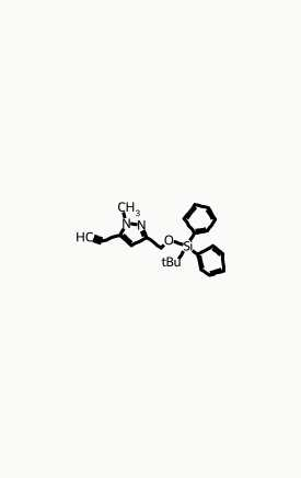 C#Cc1cc(CO[Si](c2ccccc2)(c2ccccc2)C(C)(C)C)nn1C